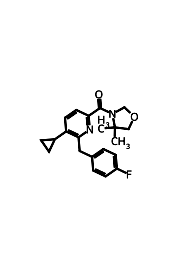 CC1(C)COCN1C(=O)c1ccc(C2CC2)c(Cc2ccc(F)cc2)n1